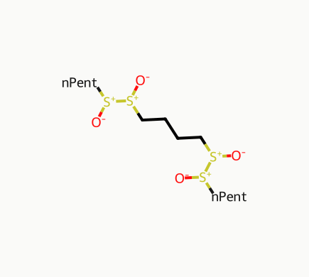 CCCCC[S+]([O-])[S+]([O-])CCCC[S+]([O-])[S+]([O-])CCCCC